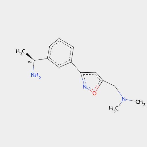 C[C@H](N)c1cccc(-c2cc(CN(C)C)on2)c1